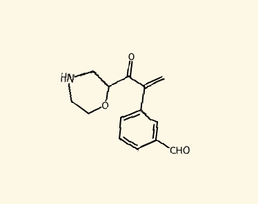 C=C(C(=O)C1CNCCO1)c1cc[c]c(C=O)c1